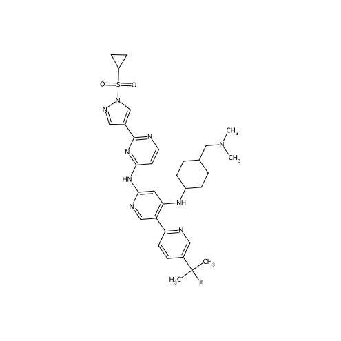 CN(C)CC1CCC(Nc2cc(Nc3ccnc(-c4cnn(S(=O)(=O)C5CC5)c4)n3)ncc2-c2ccc(C(C)(C)F)cn2)CC1